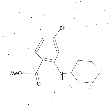 COC(=O)c1ccc(Br)cc1NC1CCCCC1